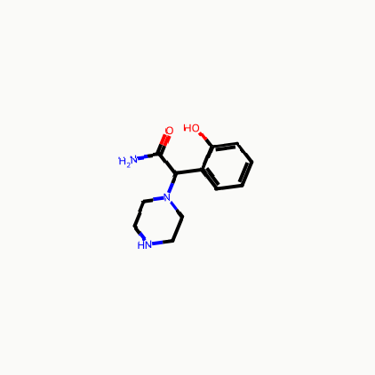 NC(=O)C(c1ccccc1O)N1CCNCC1